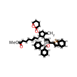 C=C1C[C@@H](OC2CCCCO2)[C@H](CC=CCCCC(=O)OC)[C@@H]1C=C[C@@H](O[Si](c1ccccc1)(c1ccccc1)C(C)(C)C)c1cc2ccccc2s1